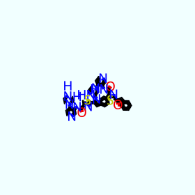 O=C(Nc1cnccc1N1CCNC(n2c(-c3nc(C(=O)Nc4cnccc4N4CCNCC4)cs3)cc3ccccc32)C1)c1csc(-c2cc3ccccc3o2)n1